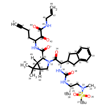 C#CCCC(NC(=O)[C@@H]1[C@@H]2[C@H](CN1C(=O)[C@@H](NC(=O)N[C@H](CN(C)S(=O)(=O)C(C)(C)C)C(C)(C)C)C1Cc3ccccc3C1)C2(C)C)C(=O)C(=O)NCC=C